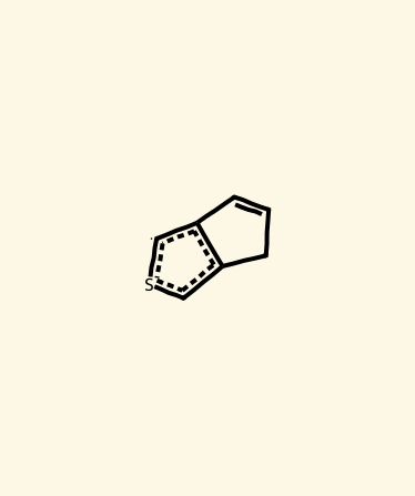 [c]1scc2c1C=CC2